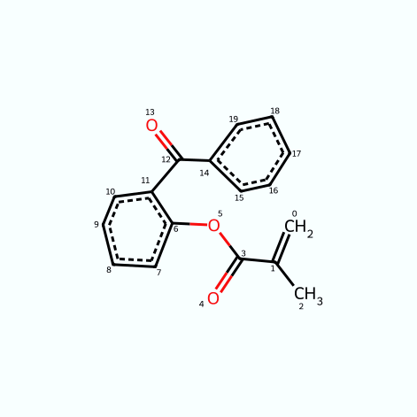 C=C(C)C(=O)Oc1ccccc1C(=O)c1ccccc1